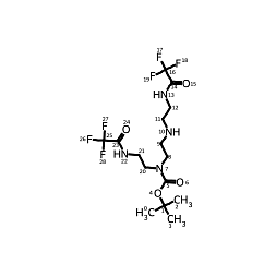 CC(C)(C)OC(=O)N(CCNCCNC(=O)C(F)(F)F)CCNC(=O)C(F)(F)F